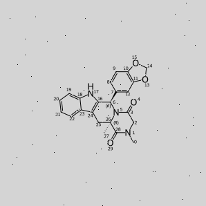 CN1CC(=O)N2[C@H](c3ccc4c(c3)OCO4)c3[nH]c4ccccc4c3C[C@]2(C)C1=O